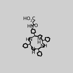 O=C(O)CCC(=O)Nc1ccc(/C2=c3\cc/c([nH]3)=C(\c3ccccc3)C3C=C/C(=C(\c4ccccc4)c4ccc([nH]4)/C(c4ccccc4)=C4/C=CC2N4)N3)cc1